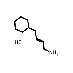 Cl.NCC=CCC1CCCCC1